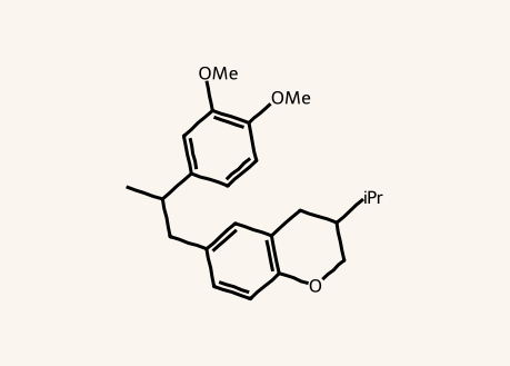 COc1ccc(C(C)Cc2ccc3c(c2)CC(C(C)C)CO3)cc1OC